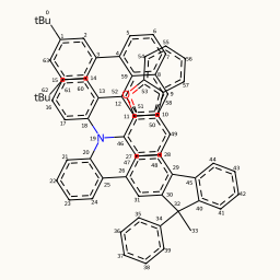 CC(C)(C)c1cc(-c2cccc3cccc(-c4ccccc4N(c4ccccc4-c4ccc5c(c4)C(C)(c4ccccc4)c4ccccc4-5)c4cccc5c4oc4ccccc45)c23)cc(C(C)(C)C)c1